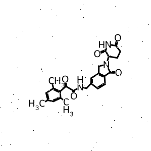 Cc1cc(C)c(C(=O)C(=O)NCc2ccc3c(c2)CN(C2CCC(=O)NC2=O)C3=O)c(C)c1